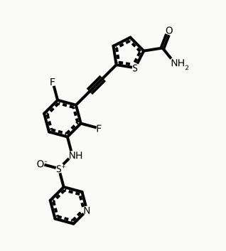 NC(=O)c1ccc(C#Cc2c(F)ccc(N[S+]([O-])c3cccnc3)c2F)s1